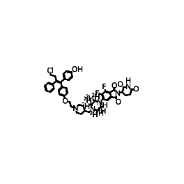 [2H]C1([2H])N(CC2CCN(CCOc3ccc(C(=C(CCCl)c4ccccc4)c4ccc(O)cc4)cc3)CC2)C([2H])([2H])C([2H])([2H])N(c2cc3c(c(F)c2F)C(=O)N(C2CCC(=O)NC2=O)C3=O)C1([2H])[2H]